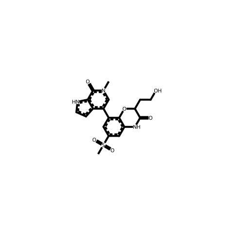 Cn1cc(-c2cc(S(C)(=O)=O)cc3c2OC(CCO)C(=O)N3)c2cc[nH]c2c1=O